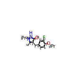 Cc1c(Cc2ccc(OC(C)C)c(F)c2)c(=O)[nH]n1C(C)C